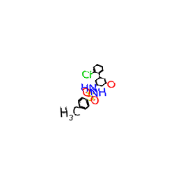 Cc1ccc(S(=O)(=O)NNC2CC(=O)CC(c3ccccc3Cl)C2)cc1